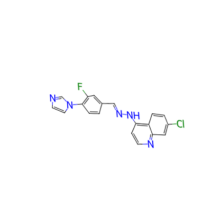 Fc1cc(C=NNc2ccnc3cc(Cl)ccc23)ccc1-n1ccnc1